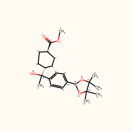 COC(=O)[C@H]1CC[C@H](C(C)(O)c2ccc(B3OC(C)(C)C(C)(C)O3)cc2)CC1